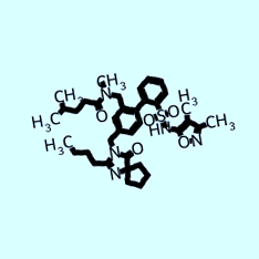 CCCCC1=NC2(CCCC2)C(=O)N1Cc1ccc(-c2ccccc2S(=O)(=O)Nc2onc(C)c2C)c(CN(C)C(=O)CCC(C)C)c1